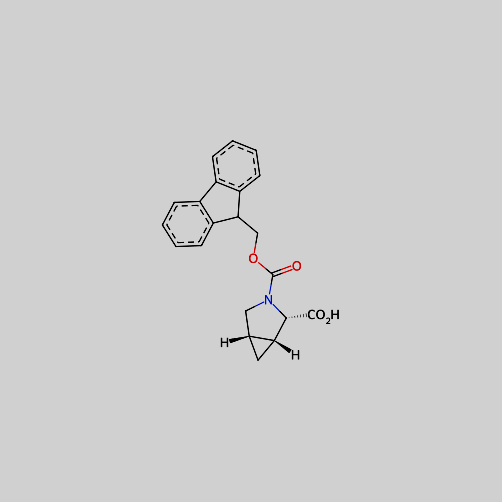 O=C(O)[C@@H]1[C@@H]2C[C@@H]2CN1C(=O)OCC1c2ccccc2-c2ccccc21